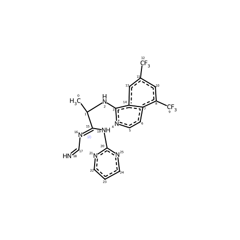 CC(Nc1nccc2c(C(F)(F)F)cc(C(F)(F)F)cc12)/C(=N/C=N)Nc1ncccn1